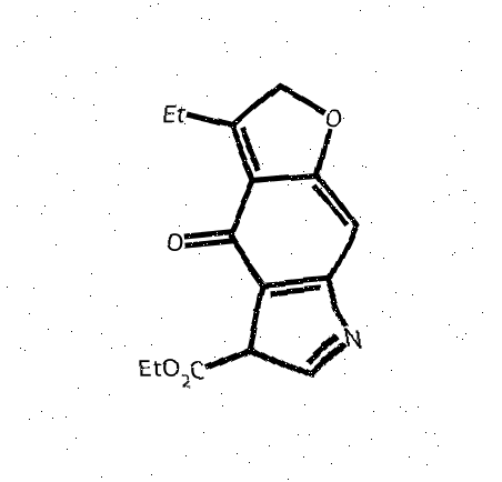 CCOC(=O)C1C=NC2=C1C(=O)C1=C(CC)COC1=C2